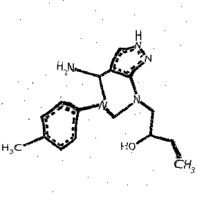 CCC(O)CN1CN(c2ccc(C)cc2)C(N)c2c[nH]nc21